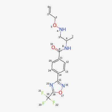 C=CCONCC(C)NC(=O)c1ccc(-c2noc(C(F)(F)F)n2)cc1